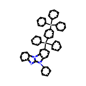 c1ccc(-n2c3ccc([Si](c4ccccc4)(c4ccccc4)c4ccc([Si](c5ccccc5)(c5ccccc5)c5ccccc5)cc4)cc3n3c4ccccc4nc23)cc1